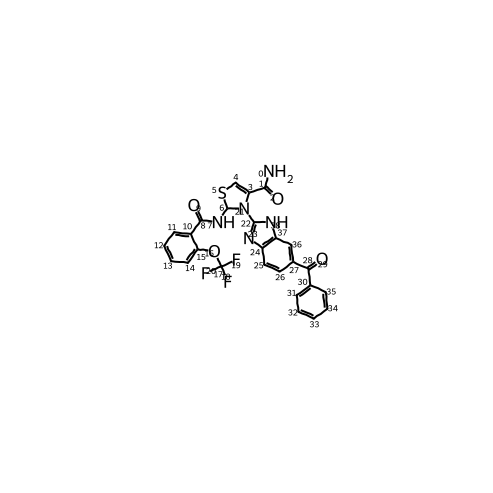 NC(=O)C1=CSC(NC(=O)c2ccccc2OC(F)(F)F)N1c1nc2ccc(C(=O)c3ccccc3)cc2[nH]1